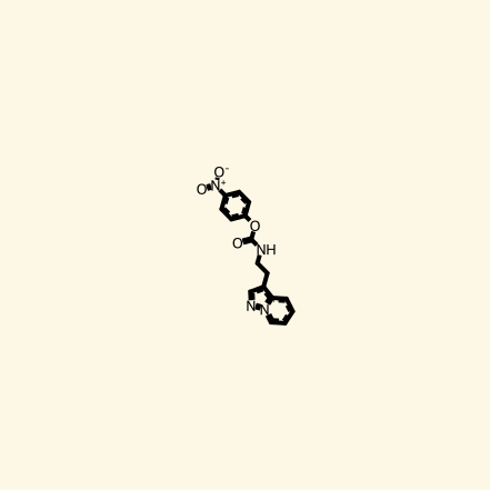 O=C(NCCc1cnn2ccccc12)Oc1ccc([N+](=O)[O-])cc1